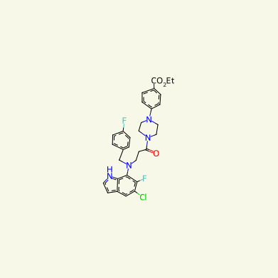 CCOC(=O)c1ccc(N2CCN(C(=O)CCN(Cc3ccc(F)cc3)c3c(F)c(Cl)cc4cc[nH]c34)CC2)cc1